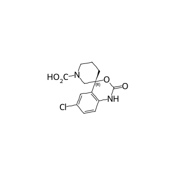 O=C1Nc2ccc(Cl)cc2[C@@]2(CCCN(C(=O)O)C2)O1